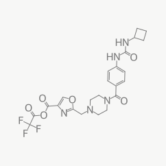 O=C(Nc1ccc(C(=O)N2CCN(Cc3nc(C(=O)OC(=O)C(F)(F)F)co3)CC2)cc1)NC1CCC1